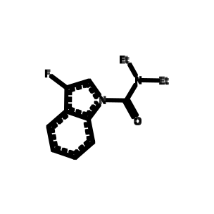 CCN(CC)C(=O)n1cc(F)c2ccccc21